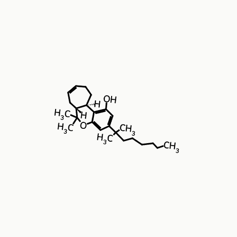 CCCCCCC(C)(C)c1cc(O)c2c(c1)OC(C)(C)[C@@H]1CC=CCC[C@@H]21